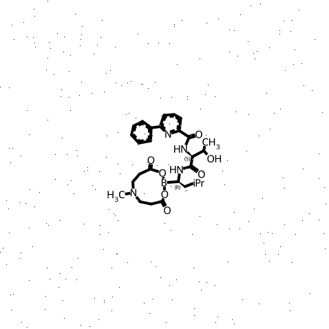 CC(C)C[C@H](NC(=O)[C@@H](NC(=O)c1cccc(-c2ccccc2)n1)C(C)O)B1OC(=O)CCN(C)CCC(=O)O1